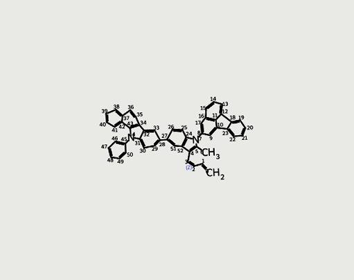 C=C/C=C\c1c(C)n(-c2cc3c4c(cccc4c2)-c2ccccc2-3)c2ccc(-c3ccc4c(c3)c3ccc5ccccc5c3n4-c3ccccc3)cc12